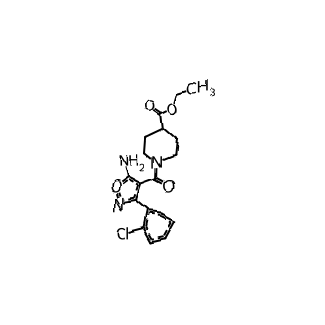 CCOC(=O)C1CCN(C(=O)c2c(-c3ccccc3Cl)noc2N)CC1